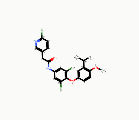 COc1ccc(Oc2c(Cl)cc(NC(=O)Cc3ccc(Cl)nc3)cc2Cl)cc1C(C)C